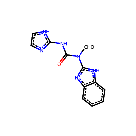 O=[C]N(C(=O)Nc1ncc[nH]1)c1nc2ccccc2[nH]1